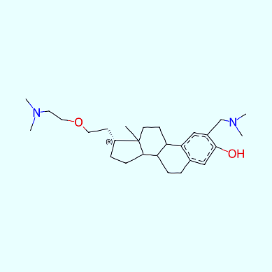 CN(C)CCOCC[C@H]1CCC2C3CCc4cc(O)c(CN(C)C)cc4C3CCC21C